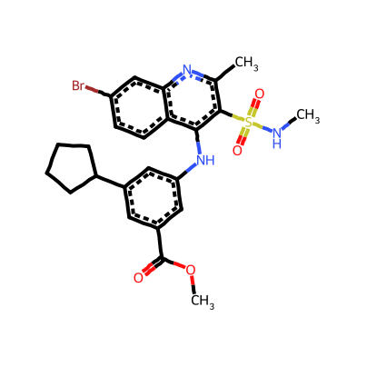 CNS(=O)(=O)c1c(C)nc2cc(Br)ccc2c1Nc1cc(C(=O)OC)cc(C2CCCC2)c1